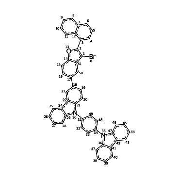 Brc1c(-c2cccc3ccccc23)oc2ccc(-c3ccc4c(c3)c3ccccc3n4-c3ccc(-n4c5ccccc5c5ccccc54)cc3)cc12